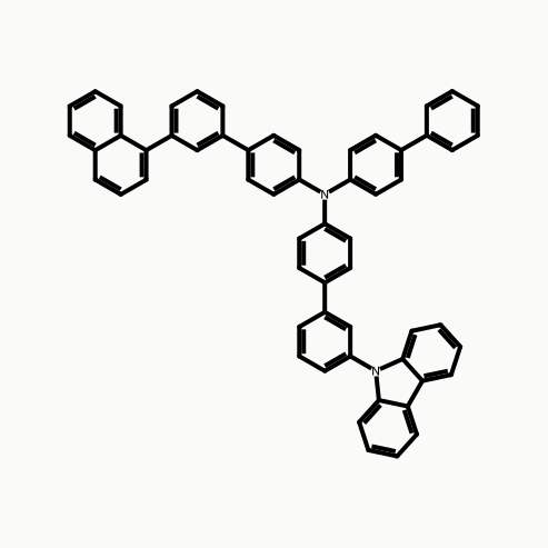 c1ccc(-c2ccc(N(c3ccc(-c4cccc(-c5cccc6ccccc56)c4)cc3)c3ccc(-c4cccc(-n5c6ccccc6c6ccccc65)c4)cc3)cc2)cc1